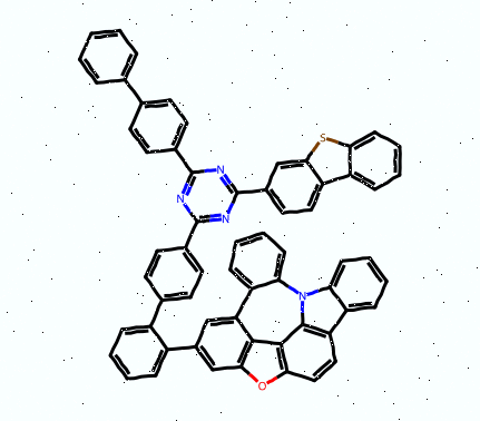 c1ccc(-c2ccc(-c3nc(-c4ccc(-c5ccccc5-c5cc6oc7ccc8c9ccccc9n9c%10ccccc%10c(c5)c6c7c89)cc4)nc(-c4ccc5c(c4)sc4ccccc45)n3)cc2)cc1